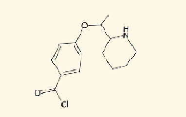 CC(Oc1ccc(C(=O)Cl)cc1)C1CCCCN1